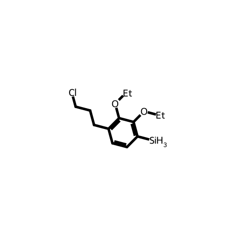 CCOc1c([SiH3])ccc(CCCCl)c1OCC